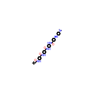 CN(C)c1ccc(N=Nc2ccc(C(=O)Nc3ccc(NC(=O)c4ccc(NC(=O)c5ccc(NC(=O)CC(C)(C)C)cc5)cc4)cc3)cc2)cc1